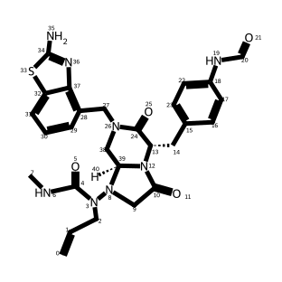 C=CCN(C(=O)NC)N1CC(=O)N2[C@@H](Cc3ccc(NC=O)cc3)C(=O)N(Cc3cccc4sc(N)nc34)C[C@@H]21